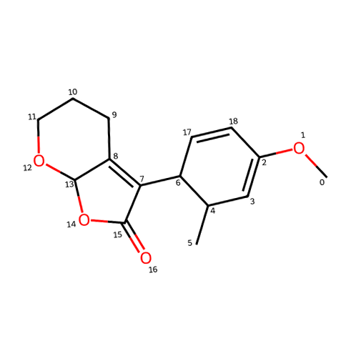 COC1=CC(C)C(C2=C3CCCOC3OC2=O)C=C1